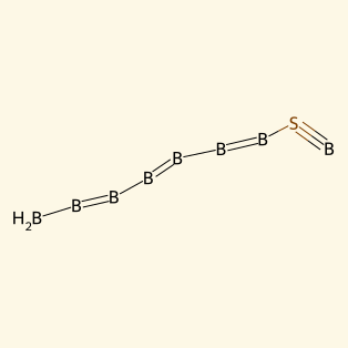 B#S\B=B/B=B\B=B/B